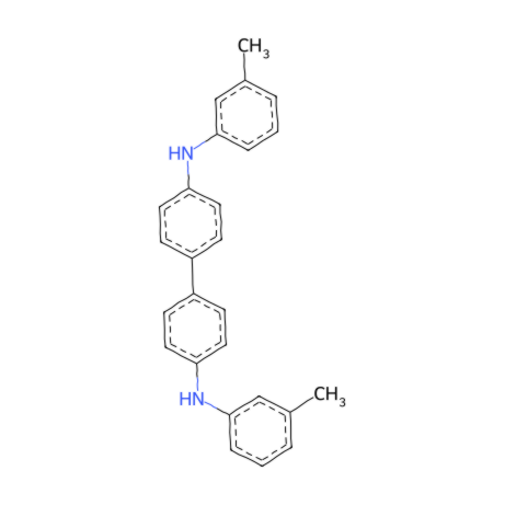 Cc1cccc(Nc2ccc(-c3ccc(Nc4cccc(C)c4)cc3)cc2)c1